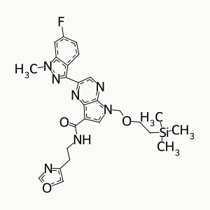 Cn1nc(-c2cnc3c(n2)c(C(=O)NCCc2cocn2)cn3COCC[Si](C)(C)C)c2ccc(F)cc21